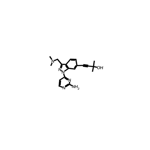 CN(C)Cc1nn(-c2ccnc(N)n2)c2cc(C#CC(C)(C)O)ccc12